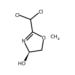 C.O[C@@H]1COC(C(Cl)Cl)=N1